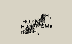 COCOc1c(-c2nc(C(=O)O)c3cc(N4C[C@@H](C)N(C(=O)OC(C)(C)C)[C@@H](C)C4)ccc3n2)cc2cn(C)nc2c1F